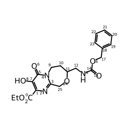 CCOC(=O)c1nc2n(c(=O)c1O)CCC(CNC(=O)OCc1ccccc1)OC2